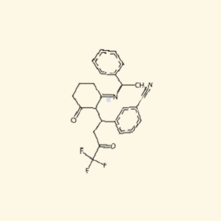 CC(/N=C1\CCCC(=O)C1C(CC(=O)C(F)(F)F)c1cccc(C#N)c1)c1ccccc1